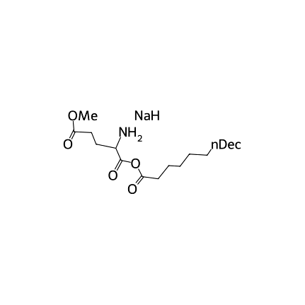 CCCCCCCCCCCCCCCC(=O)OC(=O)C(N)CCC(=O)OC.[NaH]